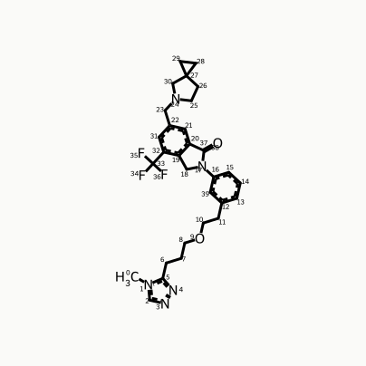 Cn1cnnc1CCCOCCc1cccc(N2Cc3c(cc(CN4CCC5(CC5)C4)cc3C(F)(F)F)C2=O)c1